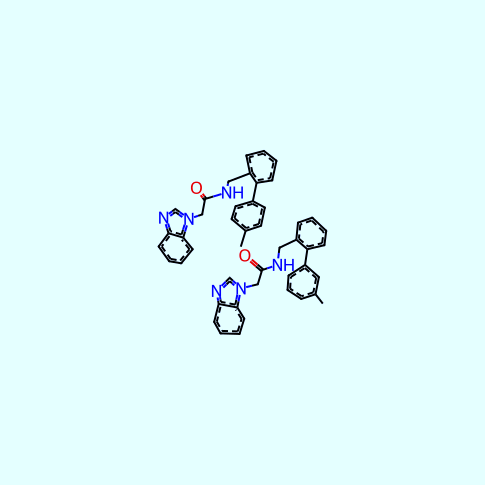 Cc1ccc(-c2ccccc2CNC(=O)Cn2cnc3ccccc32)cc1.Cc1cccc(-c2ccccc2CNC(=O)Cn2cnc3ccccc32)c1